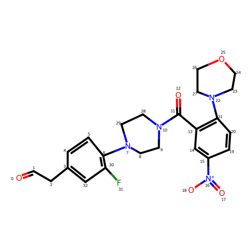 O=CCc1ccc(N2CCN(C(=O)c3cc([N+](=O)[O-])ccc3N3CCOCC3)CC2)c(F)c1